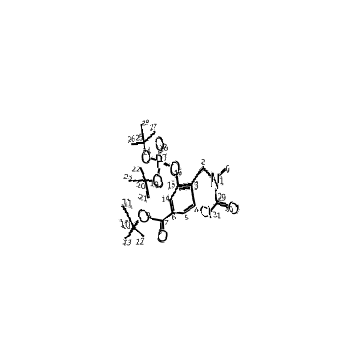 CN(Cc1ccc(C(=O)OC(C)(C)C)cc1OP(=O)(OC(C)(C)C)OC(C)(C)C)C(=O)Cl